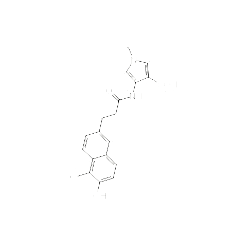 Cn1cc(NC(=O)CCc2ccc3c(Cl)c(O)ccc3c2)c(C(=O)O)c1